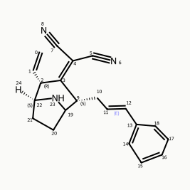 C=C[C@@H]1C(=C(C#N)C#N)[C@H](C/C=C/c2ccccc2)C2CC[C@@H]1N2